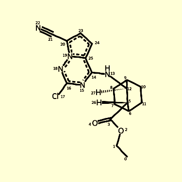 CCOC(=O)[C@H]1C2CCC(CC2)[C@@H]1Nc1nc(Cl)nn2c(C#N)ccc12